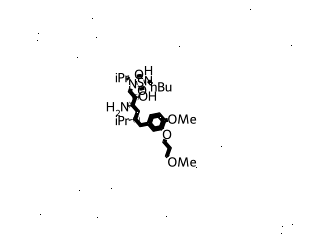 CCCCNS(=O)(=O)N(C[C@H](O)[C@@H](N)C[C@H](Cc1ccc(OC)c(OCCCOC)c1)C(C)C)C(C)C